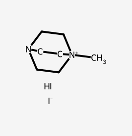 C[N+]12CCN(CC1)CC2.I.[I-]